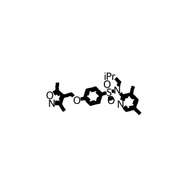 Cc1cnc(N(CC(C)C)S(=O)(=O)c2ccc(OCc3c(C)noc3C)cc2)c(C)c1